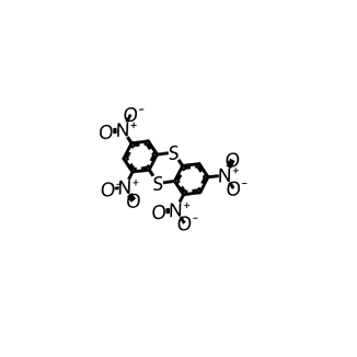 O=[N+]([O-])c1cc2c(c([N+](=O)[O-])c1)Sc1c(cc([N+](=O)[O-])cc1[N+](=O)[O-])S2